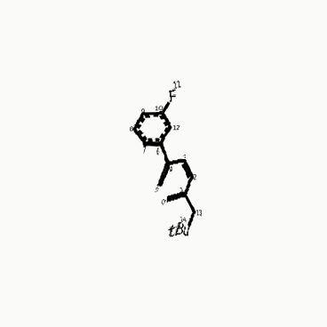 C=C(/C=C\C(=C)c1cccc(F)c1)CC(C)(C)C